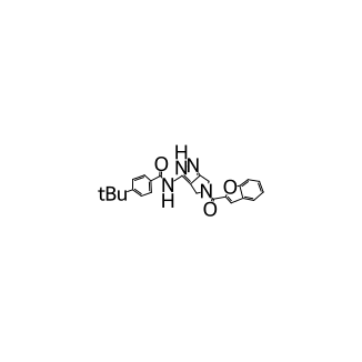 CC(C)(C)c1ccc(C(=O)Nc2[nH]nc3c2CN(C(=O)c2cc4ccccc4o2)C3)cc1